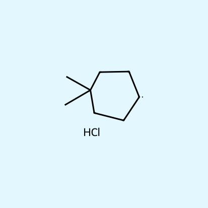 CC1(C)CC[CH]CC1.Cl